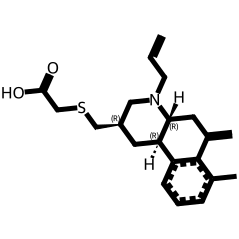 C=CCN1C[C@H](CSCC(=O)O)C[C@@H]2c3cccc(C)c3C(=C)C[C@H]21